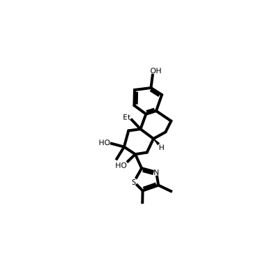 CCC12CC(C)(O)C(O)(c3nc(C)c(C)s3)C[C@H]1CCc1cc(O)ccc12